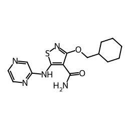 NC(=O)c1c(OCC2CCCCC2)nsc1Nc1cnccn1